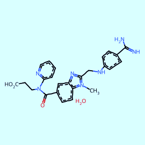 Cn1c(CNc2ccc(C(=N)N)cc2)nc2cc(C(=O)N(CCC(=O)O)c3ccccn3)ccc21.O